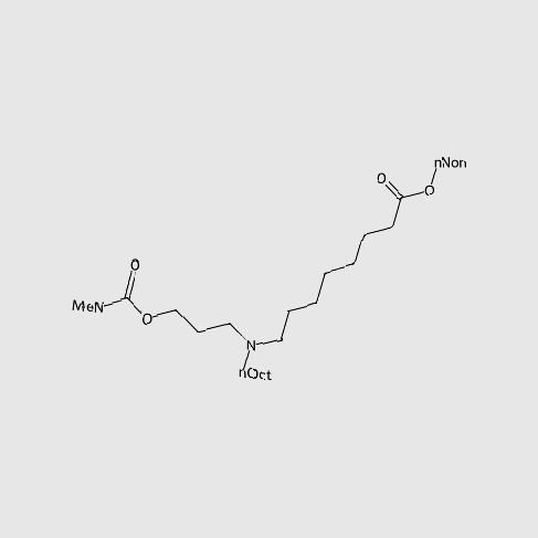 CCCCCCCCCOC(=O)CCCCCCCN(CCCCCCCC)CCCOC(=O)NC